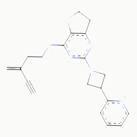 C#CC(=C)CCNc1nc(N2CC(c3ccccn3)C2)nc2c1SCC2